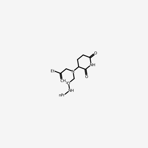 C=C(CC)CN(CONCCC)C1CCC(=O)NC1=O